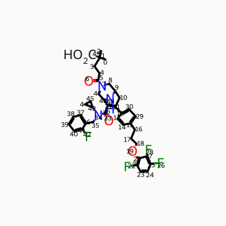 CC(C)(CCC(=O)N1CC2CC(c3ccc(CCCOc4c(F)ccc(F)c4F)cc3)=C(C(=O)N(Cc3ccccc3F)C3CC3)C(C1)N2)C(=O)O